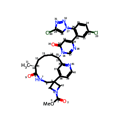 COC(=O)N1CC2(CNC(=O)[C@H](C)CCC[C@H](n3cnc(-c4cc(Cl)ccc4-n4cc(Cl)nn4)cc3=O)c3cc2ccn3)C1